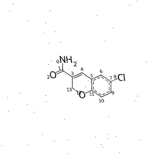 NC(=O)C1=Cc2cc(Cl)ccc2OC1